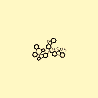 CC1(C)c2ccccc2-c2ccc(N(c3ccc4c(c3)C3(c5ccccc5-c5ccccc5-c5ccccc53)c3ccccc3-4)c3ccc4oc5ccccc5c4c3)cc21